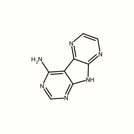 Nc1ncnc2[nH]c3nccnc3c12